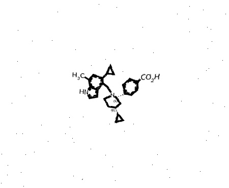 Cc1cc(C2CC2)c(CN2CC[C@@H](C3CC3)C[C@H]2c2ccc(C(=O)O)cc2)c2cc[nH]c12